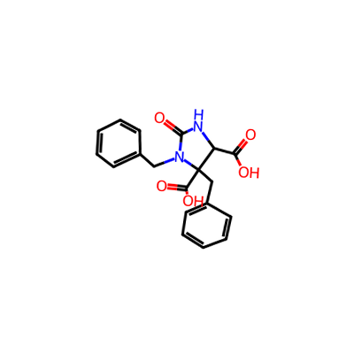 O=C(O)C1NC(=O)N(Cc2ccccc2)C1(Cc1ccccc1)C(=O)O